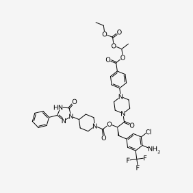 CCOC(=O)OC(C)OC(=O)c1ccc(N2CCN(C(=O)[C@@H](Cc3cc(Cl)c(N)c(C(F)(F)F)c3)OC(=O)N3CCC(n4nc(-c5ccccc5)[nH]c4=O)CC3)CC2)cc1